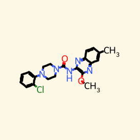 COc1nc2cc(C)ccc2nc1NC(=O)N1CCN(c2ccccc2Cl)CC1